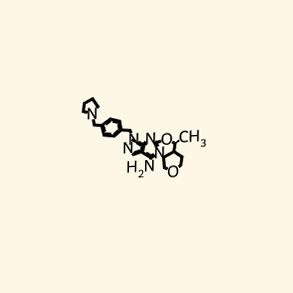 C[C@H](Oc1nc(N)c2cnn(Cc3ccc(CN4CCCC4)cc3)c2n1)C1CCOCC1